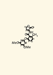 COc1cc(OC)nc(Oc2cccc(C)c2C(=O)NN2CCOC2=O)n1